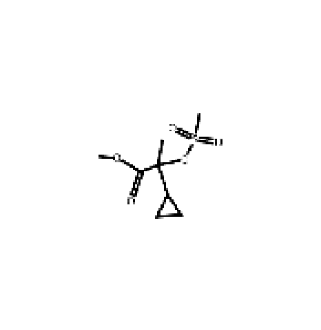 COC(=O)C(C)(OS(C)(=O)=O)C1CC1